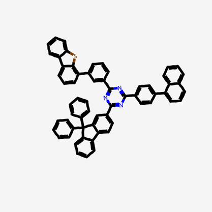 c1ccc(C2(c3ccccc3)c3ccccc3-c3ccc(-c4nc(-c5ccc(-c6cccc7ccccc67)cc5)nc(-c5cccc(-c6cccc7c6sc6ccccc67)c5)n4)cc32)cc1